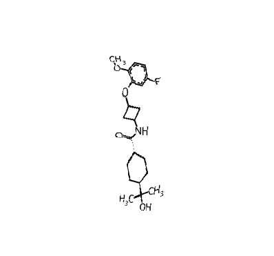 COc1ccc(F)cc1OC1CC(NC(=O)[C@H]2CC[C@H](C(C)(C)O)CC2)C1